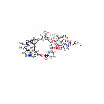 C=CC(=O)N1CCC(O)(C(=O)N(C)[C@H](C(=O)N[C@H]2Cc3cc(O)cc(c3)-c3ccc4c(c3)c(c(-c3cccnc3)n4C(C)(C)C#N)CC(C)(C)COC(=O)[C@@H]3CCCN(N3)C2=O)C(C)C)C1